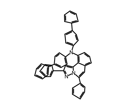 c1ccc(-c2ccc(N(c3ccc(-c4ccccc4)cc3)c3cccc4cc(-c5ccccc5)n5nc(-c6ccccc6)cc5c34)cc2)cc1